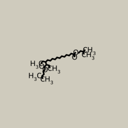 CCC(CCCCCCCCCCCC(=O)OCCC(C)C)C(CC)C(=O)OCCC(C)C